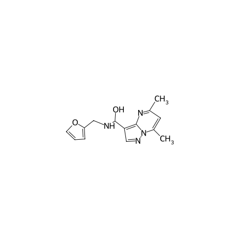 Cc1cc(C)n2ncc(C(O)NCc3ccco3)c2n1